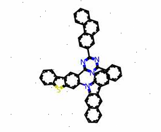 c1ccc(-c2nc(-c3ccc4c(ccc5ccccc54)c3)nc(-c3cc4c(cc3-n3c5ccccc5c5cc6ccccc6cc53)sc3ccccc34)n2)cc1